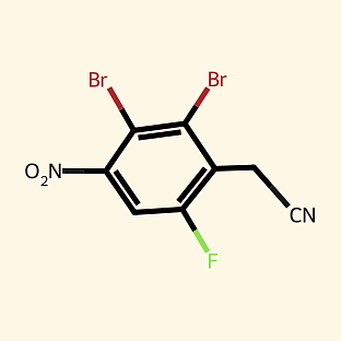 N#CCc1c(F)cc([N+](=O)[O-])c(Br)c1Br